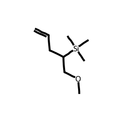 C=CCC(COC)[Si](C)(C)C